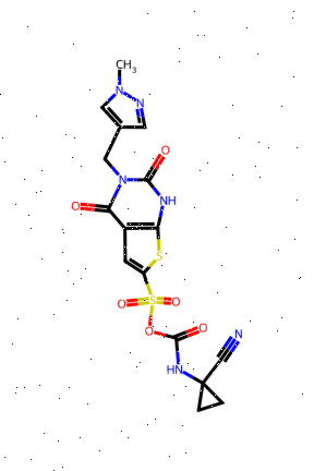 Cn1cc(Cn2c(=O)[nH]c3sc(S(=O)(=O)OC(=O)NC4(C#N)CC4)cc3c2=O)cn1